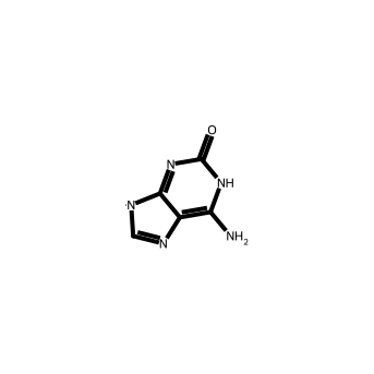 Nc1[nH]c(=O)nc2c1N=C[N]2